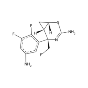 NC1=N[C@](CF)(c2cc(N)cc(F)c2F)[C@@H]2C[C@@H]2S1